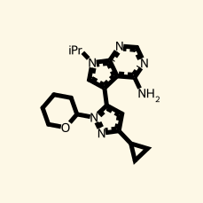 CC(C)n1cc(-c2cc(C3CC3)nn2C2CCCCO2)c2c(N)ncnc21